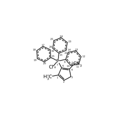 CC1=CCC(C)=C1P(Cl)(c1ccccc1)(c1ccccc1)c1ccccc1